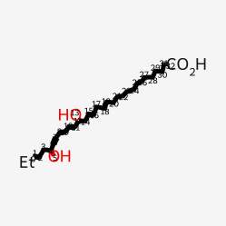 CCC=CCC(O)C#CC=CC=CC(O)CC=CCC=CCCCCCCCCCCCCC(=O)O